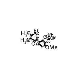 CC[C@H]1O[C@H](c2ccc(OC)c(OS(=O)(=O)C(F)(F)F)c2)[C@@H](OC(C)=O)[C@@H](C)[C@@H]1C